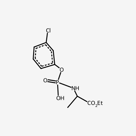 CCOC(=O)C(C)NP(=O)(O)Oc1cccc(Cl)c1